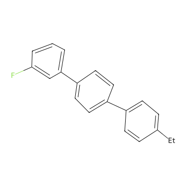 CCc1ccc(-c2ccc(-c3cccc(F)c3)cc2)cc1